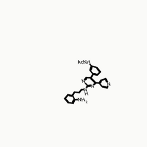 CC(=O)Nc1cccc(-c2cnc(NCCCc3ccccc3N)nc2-c2ccncc2)c1